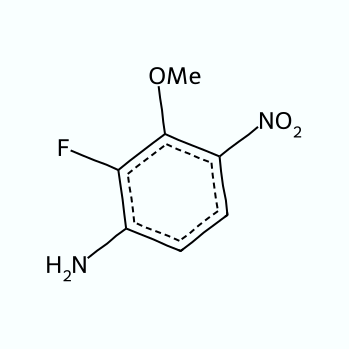 COc1c([N+](=O)[O-])ccc(N)c1F